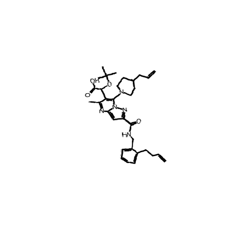 C=CCCc1ccccc1CNC(=O)c1cc2nc(C)c(C(OC(C)(C)C)C(=O)O)c(N3CCC(CC=C)CC3)n2n1